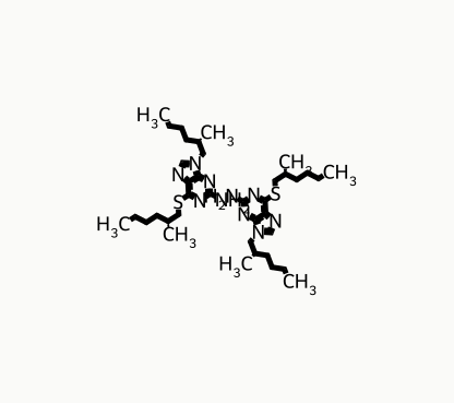 CCCC[C@@H](C)CSc1nc(N)nc2c1ncn2C[C@@H](C)CCCC.CCCC[C@@H](C)Cn1cnc2c(SC[C@@H](C)CCCC)nc(N)nc21